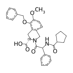 COc1ccc2c(c1OCc1ccccc1)C[C@@H](C(=O)O)N(C(=O)C(NC(=O)C1CCCC1)c1ccccc1)C2